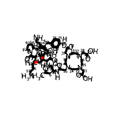 CC[C@H](C)[C@H](NC(=O)[C@H](CC(C)C)NC(=O)CN1CCN(CC(=O)O)CCN(CC(=O)O)CCN(CC(=O)O)CC1)C(=O)N[C@@H](CCCCN)C(=O)N[C@@H](CCCCN)C(=O)N1CCC[C@H]1C(=O)N[C@@H](Cc1ccccc1)C(=O)O